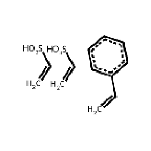 C=CS(=O)(=O)O.C=CS(=O)(=O)O.C=Cc1ccccc1